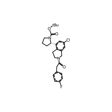 CC(C)(C)OC(=O)N1CCC[C@H]1c1cc(Cl)cc2c1CCN(C(=O)Cc1ccc(F)cc1)C2